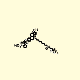 C[C@]12CCC3c4ccc(OP(=O)(O)N5CCC[C@H]5C(=O)O)cc4C[C@@H](CCCCCCCCC[S+]([O-])CCCC(F)(F)C(F)(F)F)[C@H]3[C@@H]1CC[C@@H]2O